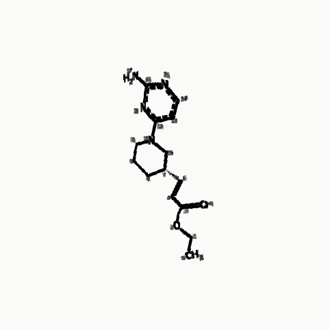 CCOC(=O)/C=C/[C@@H]1CCCN(c2ccnc(N)n2)C1